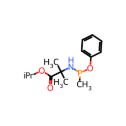 CC(C)OC(=O)C(C)(C)NP(C)Oc1ccccc1